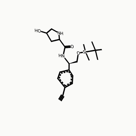 C#Cc1ccc([C@H](CO[Si](C)(C)C(C)(C)C)NC(=O)C2CC(O)CN2)cc1